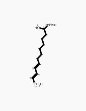 CCCCCCC(O)CCCCCC/C=C/C=C/C(=O)O